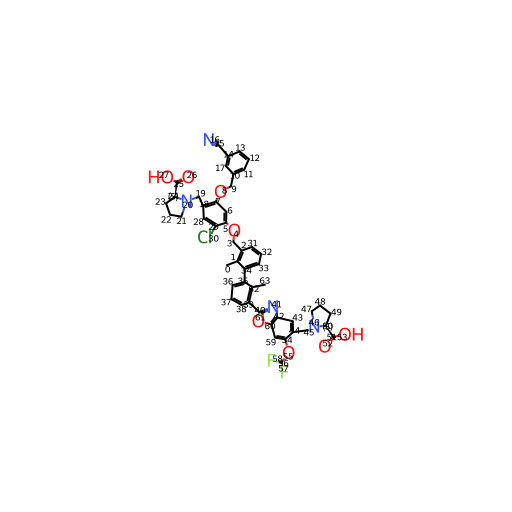 Cc1c(COc2cc(OCc3cccc(C#N)c3)c(CN3CCC[C@H]3C(=O)O)cc2Cl)cccc1-c1cccc(-c2nc3cc(CN4CCC[C@H]4C(=O)O)c(OC(F)F)cc3o2)c1C